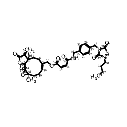 C=C1C(=O)O[C@H]2[C@H]1CC/C(COC(=O)/C=C\C(=O)NCc1ccc(Cn3c(=O)sn(CCCC)c3=O)cc1)=C\CC[C@@]1(C)O[C@@H]21